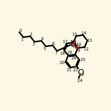 CCCCCCCCN1C=CC23CCCCC2(C=Cc2ccc(OC)cc23)C1